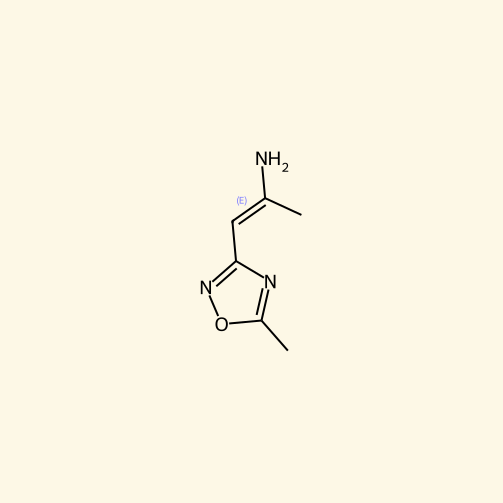 C/C(N)=C\c1noc(C)n1